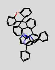 c1ccc(-c2cc(-c3ccccc3)nc(-c3cccc4c3-c3c(-c5cccc6cccnc56)cccc3C43c4ccccc4Oc4ccccc43)n2)cc1